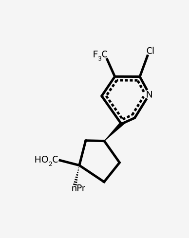 CCC[C@@]1(C(=O)O)CC[C@H](c2cnc(Cl)c(C(F)(F)F)c2)C1